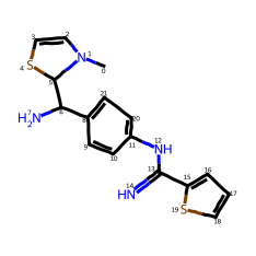 CN1C=CSC1C(N)c1ccc(NC(=N)c2cccs2)cc1